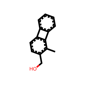 Cc1c(CO)ccc2c1-c1ccccc1-2